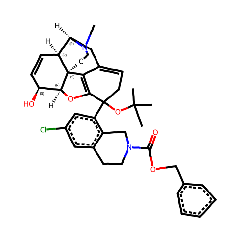 CN1CC[C@]23C4=C5O[C@H]2[C@@H](O)C=C[C@H]3[C@H]1CC4=CCC5(OC(C)(C)C)c1cc(Cl)cc2c1CN(C(=O)OCc1ccccc1)CC2